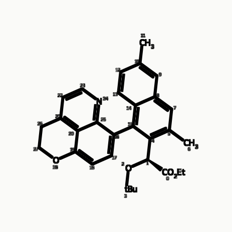 CCOC(=O)[C@@H](OC(C)(C)C)c1c(C)cc2cc(C)ccc2c1-c1ccc2c3c(ccnc13)CCO2